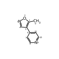 Cc1oncc1-c1ccncc1